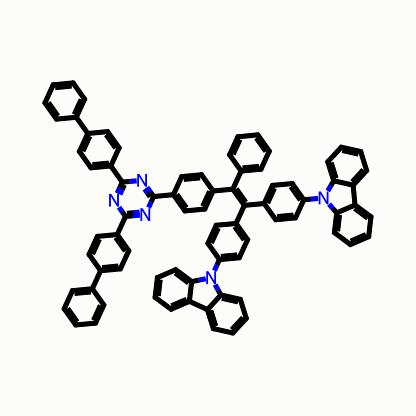 c1ccc(C(=C(c2ccc(-n3c4ccccc4c4ccccc43)cc2)c2ccc(-n3c4ccccc4c4ccccc43)cc2)c2ccc(-c3nc(-c4ccc(-c5ccccc5)cc4)nc(-c4ccc(-c5ccccc5)cc4)n3)cc2)cc1